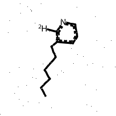 [2H]c1ncccc1CCCCCC